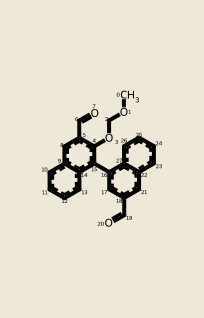 COCOc1c(C=O)cc2ccccc2c1-c1cc(C=O)cc2ccccc12